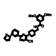 COc1cc(OC)cc(C(=O)NCC2CCN(c3nc(-c4cccc(-n5cccn5)c4)ncc3C#N)CC2)c1